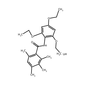 CCOc1cc(OCC)c(PC(=O)c2c(C)cc(C)c(C)c2C)c(OCC)c1.[LiH]